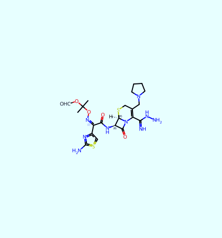 CC(C)(OC=O)O/N=C(\C(=O)N[C@@H]1C(=O)N2C(C(=N)NN)=C(CN3CCCC3)CS[C@H]12)c1csc(N)n1